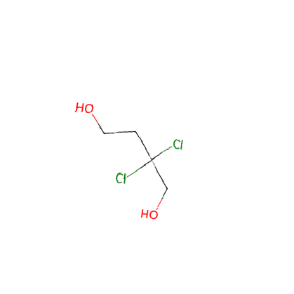 OCCC(Cl)(Cl)CO